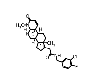 CN1C(=O)C=C[C@]2(C)[C@H]3CC[C@]4(C)[C@@H](CC(=O)NCc5ccc(F)c(Cl)c5)CC[C@H]4[C@@H]3CC[C@@H]12